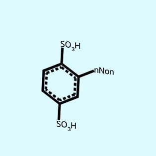 CCCCCCCCCc1cc(S(=O)(=O)O)ccc1S(=O)(=O)O